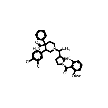 COc1cccc(OC)c1C(=O)N1CCC(C(C)N2CCC(C(N)=O)(c3ccccc3)C(c3ccc(Cl)c(Cl)c3)C2)C1